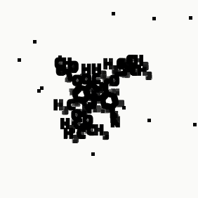 COC(=O)COc1cc(C)c2c(ccn2C(=O)OC(C)(C)C)c1C(C)(O)c1nc2cc(C#N)ccc2n1COCC[Si](C)(C)C